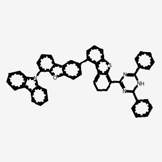 C1=c2c(sc3cccc(-c4ccc5oc6c(-n7c8ccccc8c8ccccc87)cccc6c5c4)c23)=C(C2=NC(c3ccccc3)NC(c3ccccc3)=N2)CC1